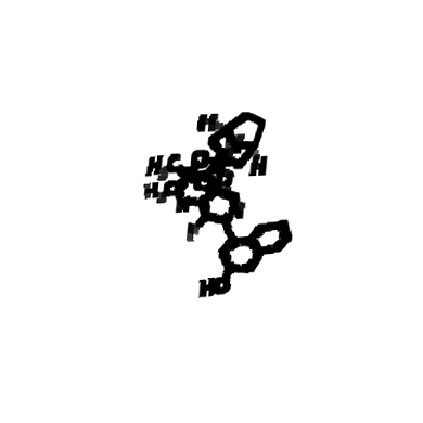 CC(C)(C)OC(=O)N1[C@@H]2CC[C@H]1CN(c1ncnc3c(F)c(-c4cc(O)cc5ccccc45)ncc13)C2